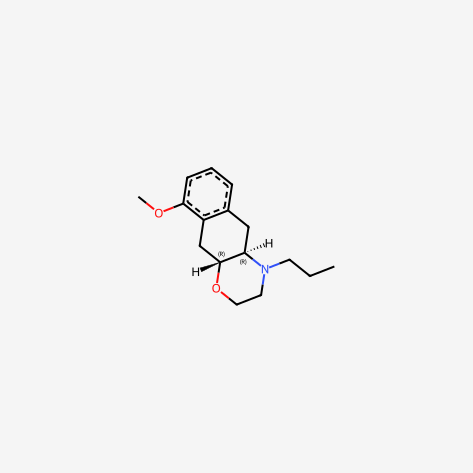 CCCN1CCO[C@@H]2Cc3c(cccc3OC)C[C@H]21